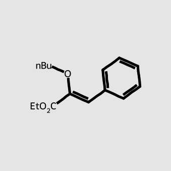 CCCCOC(=Cc1ccccc1)C(=O)OCC